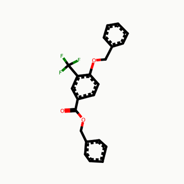 O=C(OCc1ccccc1)c1ccc(OCc2ccccc2)c(C(F)(F)F)c1